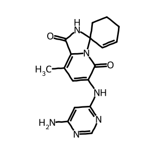 Cc1cc(Nc2cc(N)ncn2)c(=O)n2c1C(=O)NC21C=CCCC1